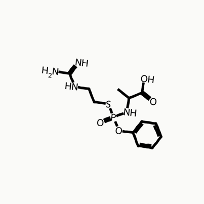 CC(NP(=O)(Oc1ccccc1)SCCNC(=N)N)C(=O)O